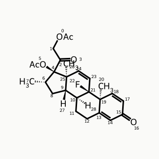 CC(=O)OCC(=O)[C@@]1(OC(C)=O)[C@@H](C)C[C@H]2[C@@H]3CCC4=CC(=O)C=C[C@]4(C)[C@@]3(F)C=C[C@@]21C